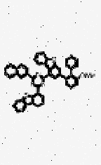 COc1cccc(-c2cc(-c3nc(-c4ccc5ccccc5c4)nc(-c4cccc5c4sc4ccccc45)n3)c3c(c2)oc2ccccc23)c1-c1ccccc1